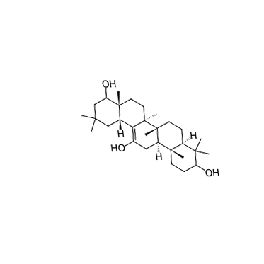 CC1(C)CC(O)[C@]2(C)CC[C@]3(C)C(=C(O)C[C@@H]4[C@@]5(C)CCC(O)C(C)(C)[C@@H]5CC[C@]43C)[C@@H]2C1